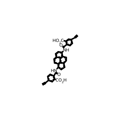 C#Cc1ccc(C(=O)Nc2ccc3ccc4c(NC(=O)c5ccc(C#C)cc5C(=O)O)ccc5ccc2c3c54)c(C(=O)O)c1